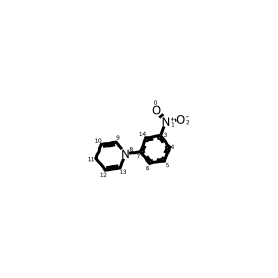 O=[N+]([O-])c1cccc(N2C=CCC=C2)c1